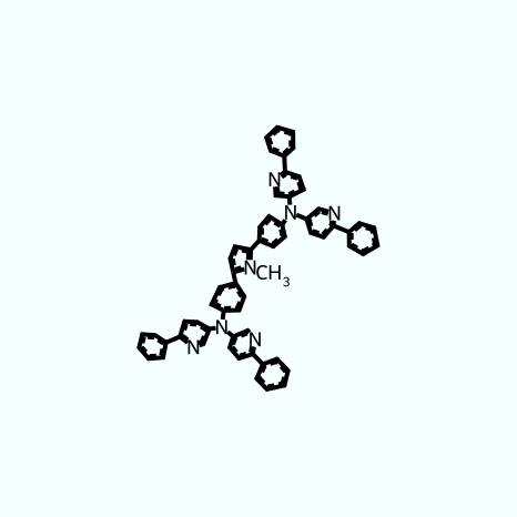 Cn1c(-c2ccc(N(c3ccc(-c4ccccc4)nc3)c3ccc(-c4ccccc4)nc3)cc2)ccc1-c1ccc(N(c2ccc(-c3ccccc3)nc2)c2ccc(-c3ccccc3)nc2)cc1